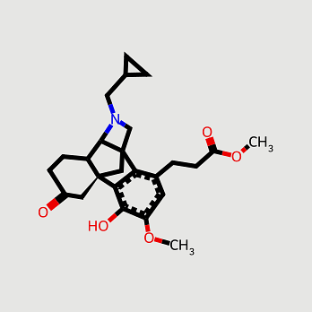 COC(=O)CCc1cc(OC)c(O)c2c1C13CN(CC4CC4)C1C1CCC(=O)C[C@@]21C3